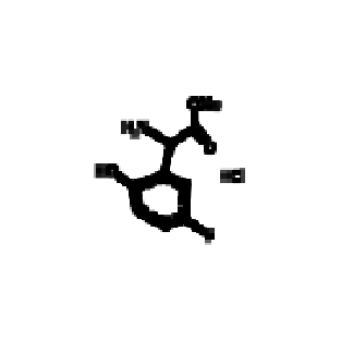 COC(=O)C(N)c1cc(F)ccc1O.Cl